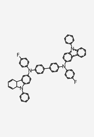 Fc1ccc(N(c2ccc(-c3ccc(N(c4ccc(F)cc4)c4ccc5c(c4)c4ccccc4n5-c4ccccc4)cc3)cc2)c2ccc3c(c2)C2C=CC=CC2N3c2ccccc2)cc1